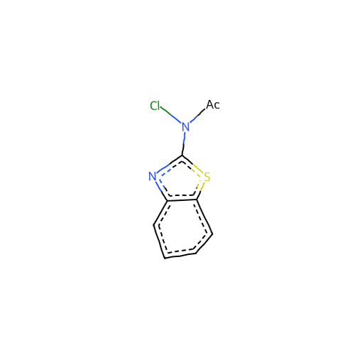 CC(=O)N(Cl)c1nc2ccccc2s1